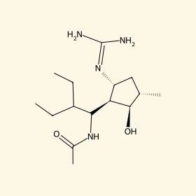 CCC(CC)C(NC(C)=O)[C@@H]1[C@H](O)[C@@H](C)C[C@H]1N=C(N)N